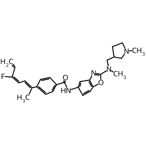 C=C/C(F)=C\C=C(/C)c1ccc(C(=O)Nc2ccc3oc(N(C)CC4CCN(C)C4)nc3c2)cc1